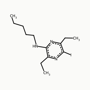 CCCCCNc1nc(CC)c(I)nc1CC